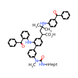 CCCCCCCNC(=O)N(C)c1cccc(-c2ccc(C(CC(C)(C)Nc3cccc(C(=O)c4ccccc4)c3)C(=O)O)cc2Nc2ccccc2C(=O)c2ccccc2)c1